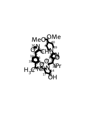 COC(OC)C1CCN(c2cc([C@H](C(=O)N3C[C@H](O)C[C@H]3C(=O)N[C@@H](C)c3ccc(-c4ocnc4C)cc3)C(C)C)on2)CC1